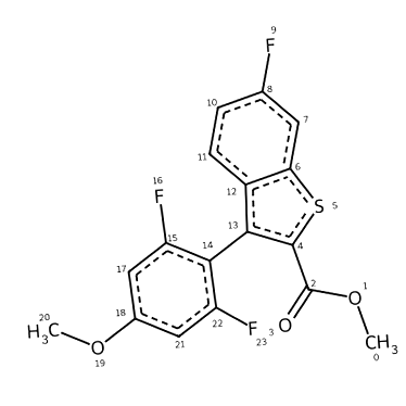 COC(=O)c1sc2cc(F)ccc2c1-c1c(F)cc(OC)cc1F